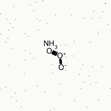 N.O=[O+][O-]